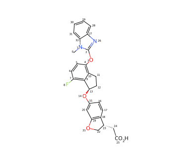 Cn1c(Oc2ccc(F)c3c2CC[C@H]3Oc2ccc3c(c2)OC[C@H]3CC(=O)O)nc2ccccc21